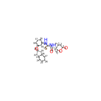 Cc1cc(=O)oc(C)c1C(=O)NC(=S)Nc1cccc(OC2Cc3ccccc3C2)c1